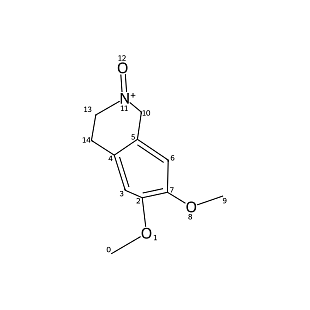 COc1cc2c(cc1OC)C[N+](=O)CC2